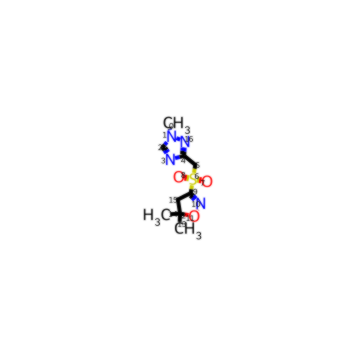 Cn1cnc(CS(=O)(=O)C2=NOC(C)(C)C2)n1